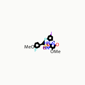 COc1ccc(C2CC2S(=O)(=O)Nc2c(OC)cc(=O)n(C)c2Nc2ccc(I)cc2F)cc1F